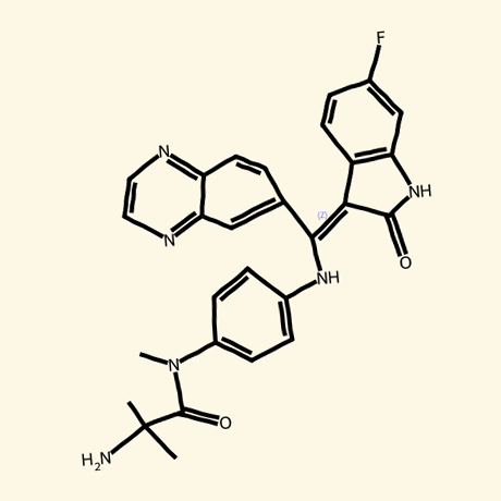 CN(C(=O)C(C)(C)N)c1ccc(N/C(=C2\C(=O)Nc3cc(F)ccc32)c2ccc3nccnc3c2)cc1